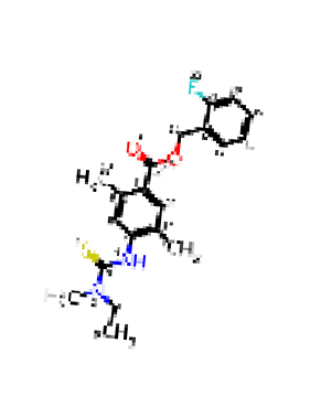 CCN(C)C(=S)Nc1cc(C)c(C(=O)OCc2ccccc2F)cc1C